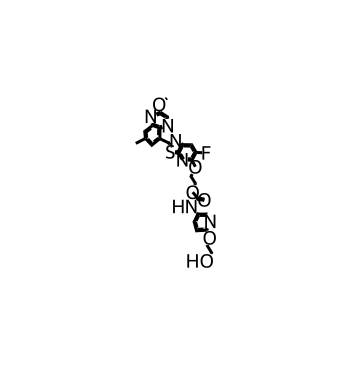 COc1cnc2c(-c3nc4cc(F)c(OCCOC(=O)Nc5ccc(OCCO)nc5)nc4s3)cc(C)cc2n1